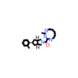 Cc1ncccccnc(C(=O)N2C[C@H]3C[C@@H](c4ccccc4C)C[C@H]3C2)n1